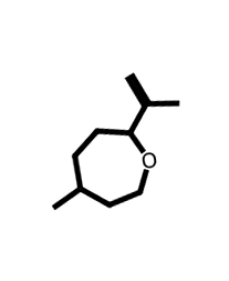 C=C(C)C1CCC(C)CCO1